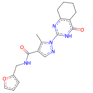 Cc1c(C(=O)NCc2ccco2)cnn1-c1nc2c(c(=O)[nH]1)CCCC2